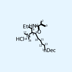 C=C(C)C(=O)NC(CC)C(CCCCCCCCCCCCCCC)N(C)C.Cl